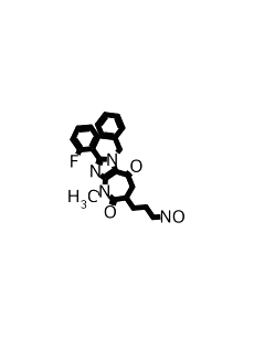 CN1C(=O)C(CCCN=O)CC(=O)c2c1nc(-c1ccccc1F)n2Cc1ccccc1